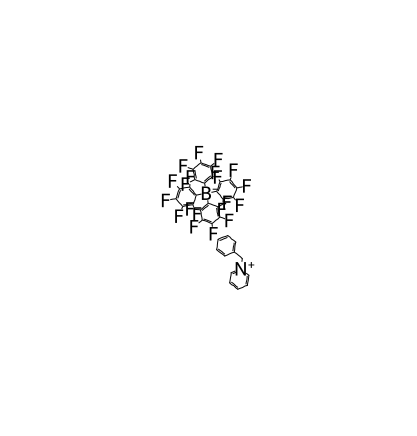 Fc1c(F)c(F)c([B-](c2c(F)c(F)c(F)c(F)c2F)(c2c(F)c(F)c(F)c(F)c2F)c2c(F)c(F)c(F)c(F)c2F)c(F)c1F.c1ccc(C[n+]2ccccc2)cc1